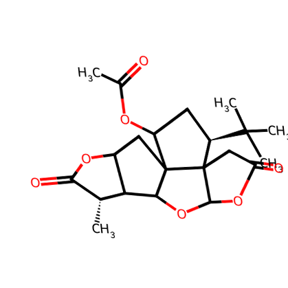 CC(=O)OC1C[C@@H](C(C)(C)C)C23CC(=O)OC2OC2C4C(CC123)OC(=O)[C@H]4C